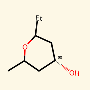 CCC1C[C@H](O)CC(C)O1